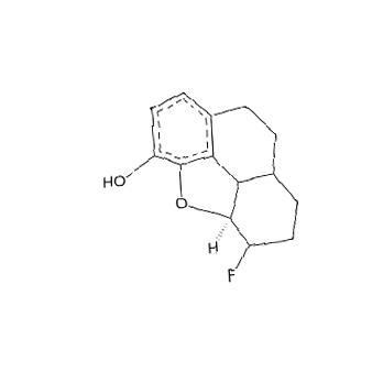 Oc1ccc2c3c1O[C@@H]1C(F)CCC(CC2)C31